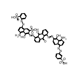 Nc1ccc(N=Nc2cccc(S(=O)(=O)O)c2)c2ccc(N=Nc3cccc4c3C(=O)c3cccc(N=Nc5c(S(=O)(=O)O)cc6c(N=Nc7ccccc7S(=O)(=O)O)ccc(N)c6c5O)c3C4=O)c(O)c12